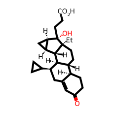 CC[C@]12CC[C@H]3[C@H]([C@@H]1[C@H]1C[C@H]1[C@@]2(O)CCC(=O)O)[C@H](C1CC1)CC1=CC(=O)CC[C@@H]13